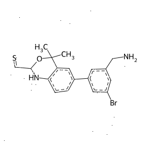 CC1(C)OC(C=S)Nc2ccc(-c3cc(Br)cc(CN)c3)cc21